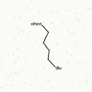 CCCC[CH]CCCCC(C)(C)C